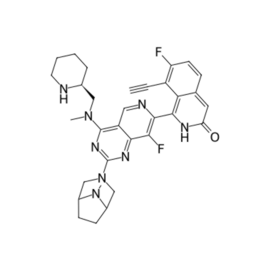 C#Cc1c(F)ccc2cc(=O)[nH]c(-c3ncc4c(N(C)C[C@@H]5CCCCN5)nc(N5CC6CCC(C5)N6C)nc4c3F)c12